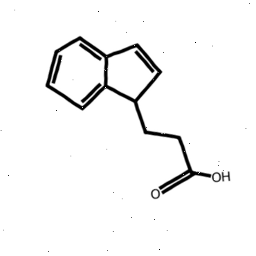 O=C(O)CCC1C=Cc2ccccc21